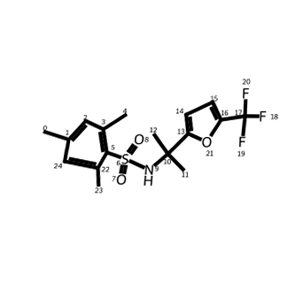 Cc1cc(C)c(S(=O)(=O)NC(C)(C)c2ccc(C(F)(F)F)o2)c(C)c1